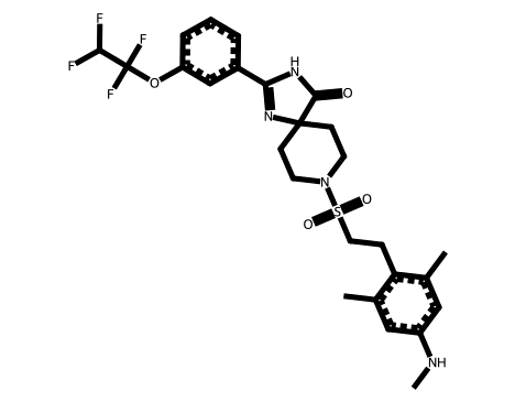 CNc1cc(C)c(CCS(=O)(=O)N2CCC3(CC2)N=C(c2cccc(OC(F)(F)C(F)F)c2)NC3=O)c(C)c1